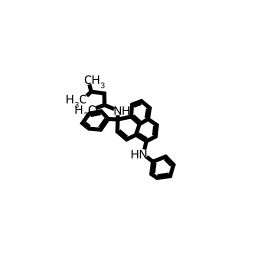 CC(C)CC(C)NC1(c2ccccc2)C=Cc2c(Nc3ccccc3)ccc3cccc1c23